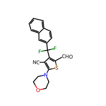 N#Cc1c(N2CCOCC2)sc(C=O)c1C(F)(F)c1ccc2ccccc2c1